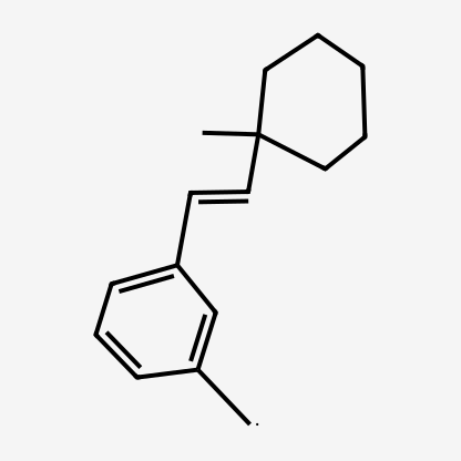 [CH2]c1cccc(C=CC2(C)CCCCC2)c1